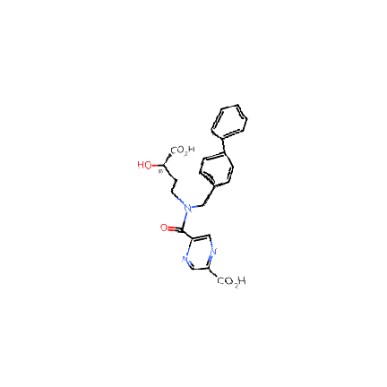 O=C(O)c1cnc(C(=O)N(CC[C@@H](O)C(=O)O)Cc2ccc(-c3ccccc3)cc2)cn1